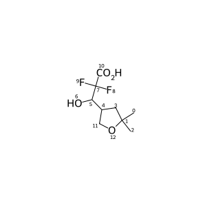 CC1(C)CC(C(O)C(F)(F)C(=O)O)CO1